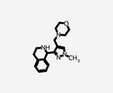 Cn1cc(CN2CCOCC2)c(C2NCCc3ccccc32)n1